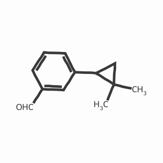 CC1(C)C[C]1c1cccc(C=O)c1